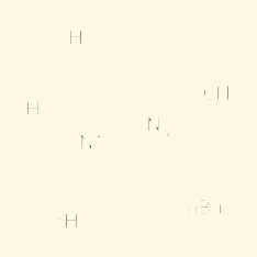 [2H]c1c(CCCC)n(C)c(C)[n+]1[2H]